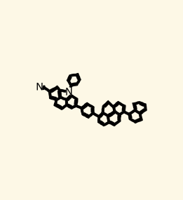 N#Cc1cc2ccc3cc(-c4ccc(-c5ccc6ccc7c(-c8cccc9ccccc89)ccc8ccc5c6c87)cc4)cc4c3c2c(c1)n4-c1ccccc1